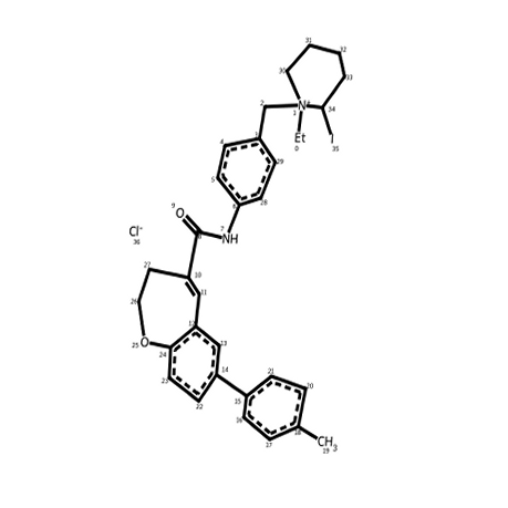 CC[N+]1(Cc2ccc(NC(=O)C3=Cc4cc(-c5ccc(C)cc5)ccc4OCC3)cc2)CCCCC1I.[Cl-]